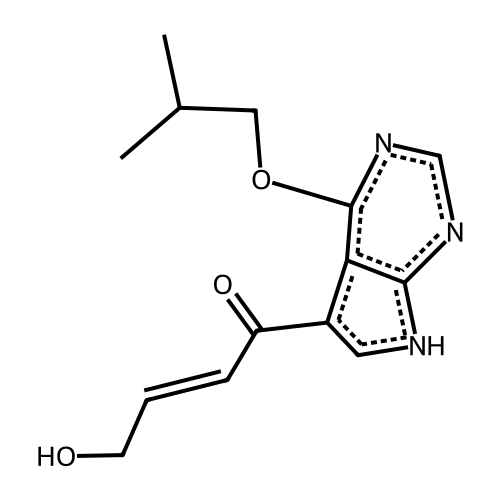 CC(C)COc1ncnc2[nH]cc(C(=O)/C=C/CO)c12